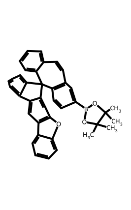 CC1(C)OB(c2ccc3c(c2)C=Cc2ccccc2C32c3ccccc3-c3cc4c(cc32)oc2ccccc24)OC1(C)C